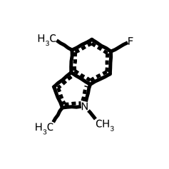 Cc1cc(F)cc2c1cc(C)n2C